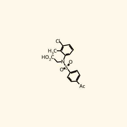 CC(=O)c1ccc(S(=O)(=O)N(CC(=O)O)c2cccc(Cl)c2C)cc1